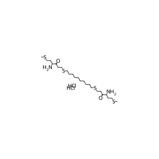 CSCC[C@H](N)C(=O)CCSCCCCCCCCCCSCCC(=O)[C@@H](N)CCSC.Cl.Cl